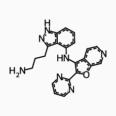 NCCCc1n[nH]c2cccc(Nc3c(-c4ncccn4)oc4cnccc34)c12